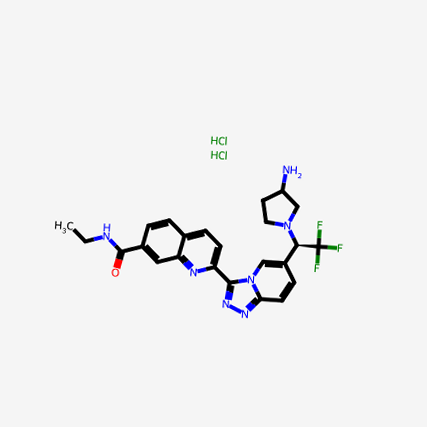 CCNC(=O)c1ccc2ccc(-c3nnc4ccc([C@@H](N5CCC(N)C5)C(F)(F)F)cn34)nc2c1.Cl.Cl